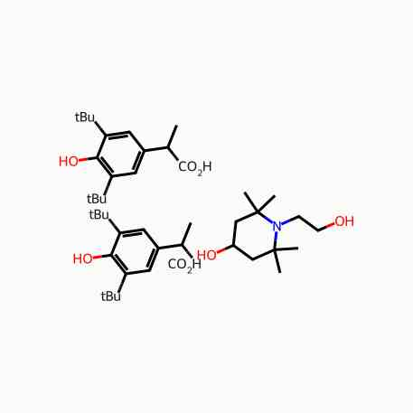 CC(C(=O)O)c1cc(C(C)(C)C)c(O)c(C(C)(C)C)c1.CC(C(=O)O)c1cc(C(C)(C)C)c(O)c(C(C)(C)C)c1.CC1(C)CC(O)CC(C)(C)N1CCO